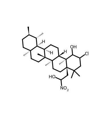 C[C@@H]1[C@H]2[C@H]3CC[C@H]4[C@@](C)(CC[C@@]5(CC(O)[N+](=O)[O-])C(C)(C)CC(Cl)C(O)[C@]45C)[C@]3(C)CC[C@@]2(C)CC[C@H]1C